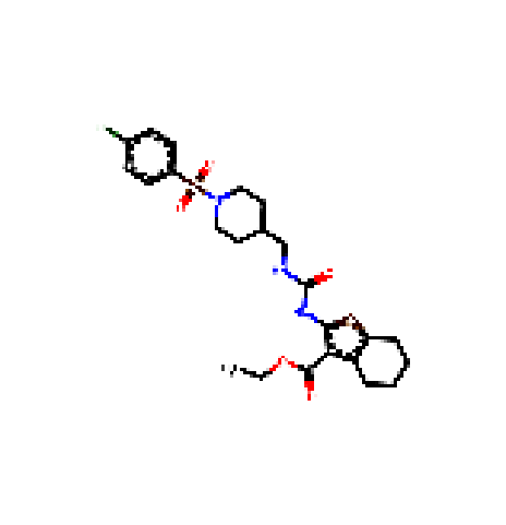 CCOC(=O)c1c(NC(=O)NCC2CCN(S(=O)(=O)c3ccc(Cl)cc3)CC2)sc2c1CCCC2